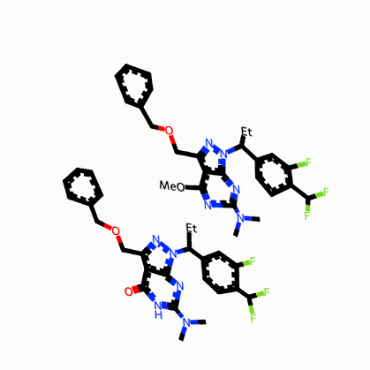 CCC(c1ccc(C(F)F)c(F)c1)n1nc(COCc2ccccc2)c2c(=O)[nH]c(N(C)C)nc21.CCC(c1ccc(C(F)F)c(F)c1)n1nc(COCc2ccccc2)c2c(OC)nc(N(C)C)nc21